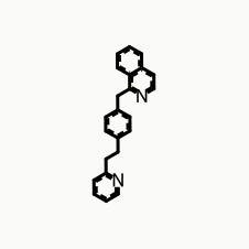 c1ccc(CCc2ccc(Cc3nccc4ccccc34)cc2)nc1